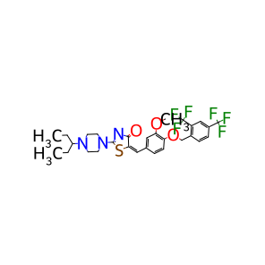 CCC(CC)N1CCN(C2=NC(=O)/C(=C\c3ccc(OCc4ccc(C(F)(F)F)cc4C(F)(F)F)c(OC)c3)S2)CC1